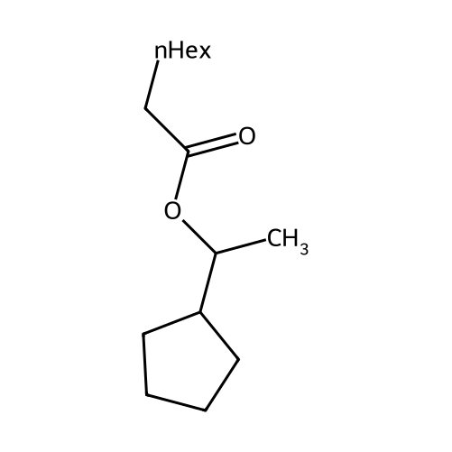 CCCCCCCC(=O)OC(C)C1CCCC1